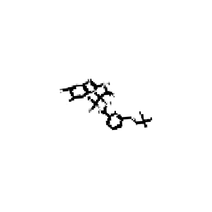 O=C(NC1(C(F)(F)F)C(=O)Nc2nc3cc(Cl)c(Cl)cc3n21)c1cccc(OCC(F)(F)F)n1